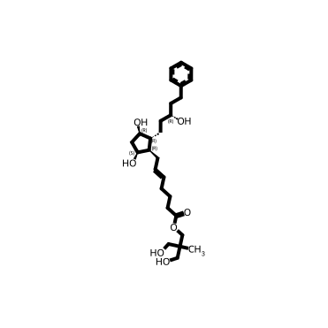 CC(CO)(CO)COC(=O)CCCC=CC[C@@H]1[C@@H](CC[C@@H](O)CCc2ccccc2)[C@H](O)C[C@@H]1O